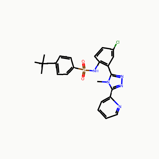 Cn1c(-c2ccccn2)nnc1-c1cc(Cl)ccc1NS(=O)(=O)c1ccc(C(C)(C)C)cc1